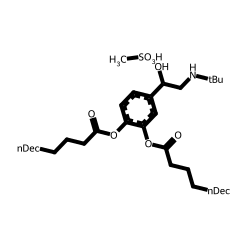 CCCCCCCCCCCCCC(=O)Oc1ccc(C(O)CNC(C)(C)C)cc1OC(=O)CCCCCCCCCCCCC.CS(=O)(=O)O